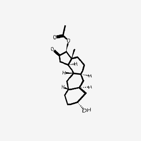 CC(=O)O[C@@H]1C(=O)C[C@@H]2[C@H]3C[C@H]4CC[C@@H](O)C[C@@H]4C[C@@H]3CC[C@@]12C